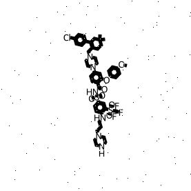 COc1ccc(Oc2cc(N3CCN(CC4=C(c5ccc(Cl)cc5)CC(C)(C)CC4)CC3)ccc2C(=O)NS(=O)(=O)c2ccc(NCCCN3CCNCC3)c(S(=O)(=O)C(F)(F)F)c2)cc1